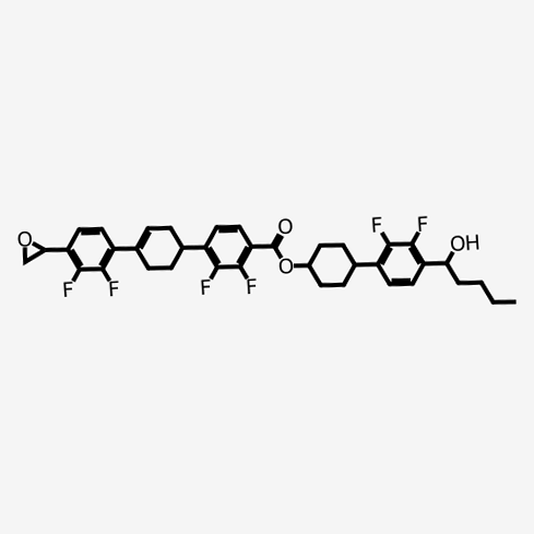 CCCCC(O)c1ccc(C2CCC(OC(=O)c3ccc(C4CC=C(c5ccc(C6CO6)c(F)c5F)CC4)c(F)c3F)CC2)c(F)c1F